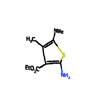 CCOC(=O)c1c(N)sc(NC)c1C